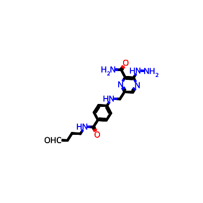 NNc1ncc(CNc2ccc(C(=O)NCCCC=O)cc2)nc1C(N)=O